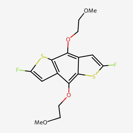 COCCOc1c2cc(F)sc2c(OCCOC)c2cc(F)sc12